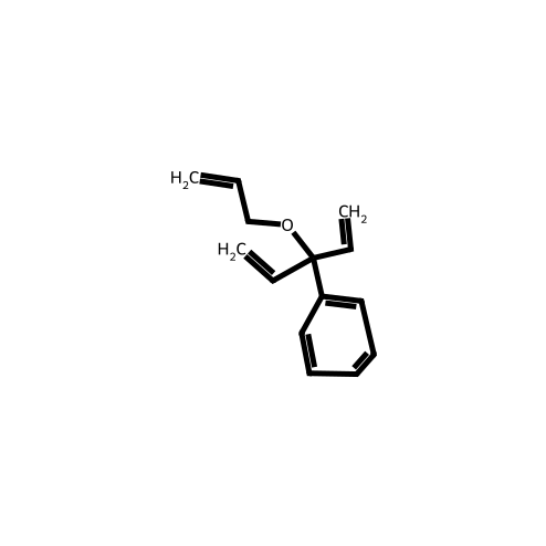 C=CCOC(C=C)(C=C)c1ccccc1